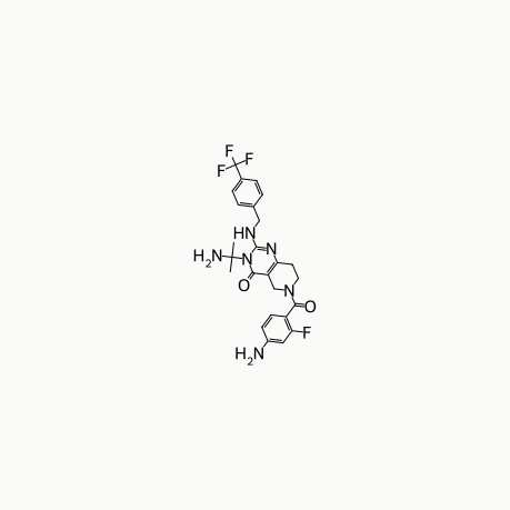 CC(C)(N)n1c(NCc2ccc(C(F)(F)F)cc2)nc2c(c1=O)CN(C(=O)c1ccc(N)cc1F)CC2